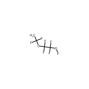 CC(F)(F)OC(F)(F)C(F)(F)OF